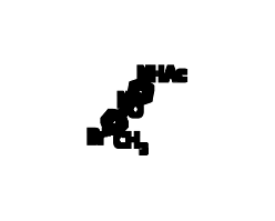 CC(=O)Nc1ccc2oc(-c3ccc(Br)c(C)c3)nc2c1